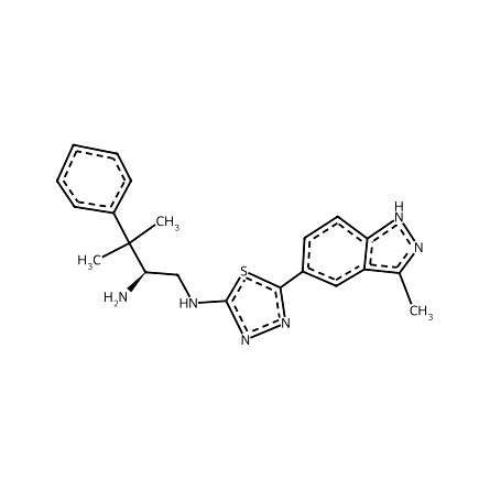 Cc1n[nH]c2ccc(-c3nnc(NC[C@@H](N)C(C)(C)c4ccccc4)s3)cc12